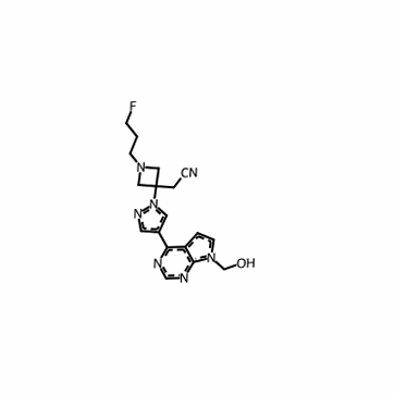 N#CCC1(n2cc(-c3ncnc4c3ccn4CO)cn2)CN(CCCF)C1